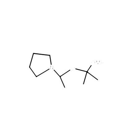 COC(C)(C)OC(C)N1CCCC1